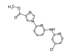 COC(=O)c1cn(-c2cccc(Nc3cc(Cl)ccn3)n2)cn1